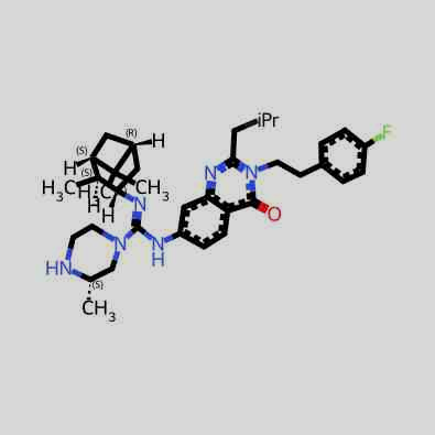 CC(C)Cc1nc2cc(NC(=N[C@H]3C[C@H]4C[C@@H]([C@@H]3C)C4(C)C)N3CCN[C@@H](C)C3)ccc2c(=O)n1CCc1ccc(F)cc1